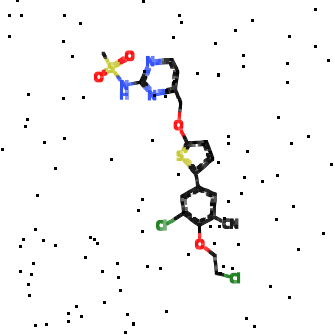 CS(=O)(=O)Nc1nccc(COc2ccc(-c3cc(Cl)c(OCCCl)c(C#N)c3)s2)n1